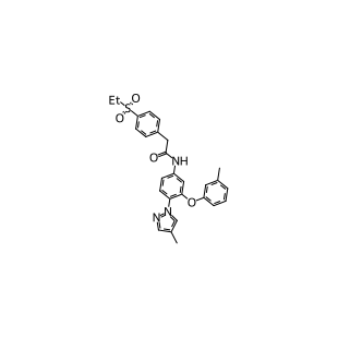 CCS(=O)(=O)c1ccc(CC(=O)Nc2ccc(-n3cc(C)cn3)c(Oc3cccc(C)c3)c2)cc1